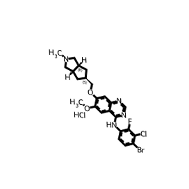 COc1cc2c(Nc3ccc(Br)c(Cl)c3F)ncnc2cc1OC[C@H]1C[C@@H]2CN(C)C[C@@H]2C1.Cl